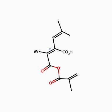 C=C(C)C(=O)OC(=O)/C(=C(/C=C(C)C)C(=O)O)C(C)C